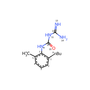 CCCCc1cccc(C)c1NC(=O)NC(=N)N